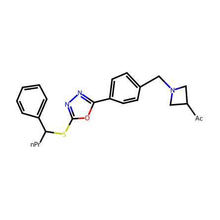 CCCC(Sc1nnc(-c2ccc(CN3CC(C(C)=O)C3)cc2)o1)c1ccccc1